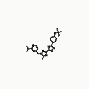 Cc1nc(-c2nc(-c3ccc(OC(C)(F)F)cc3)no2)nn1Cc1ccnc(N(C)C)c1